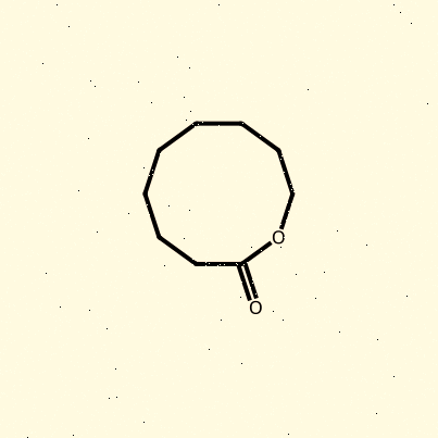 O=C1CCCCCCCCO1